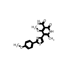 COc1ccc(-c2nc(-c3c(C)[nH]c(=O)c(C(N)=O)c3OC)cs2)cc1